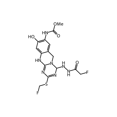 COC(=O)Nc1cc2c(cc1O)NC1=NC(SCF)=NC(NNC(=O)CF)N1C2